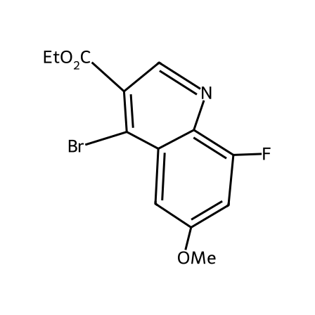 CCOC(=O)c1cnc2c(F)cc(OC)cc2c1Br